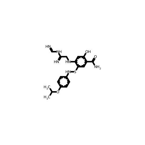 CC(C)Oc1ccc(NSc2cc(C(N)=O)c(O)cc2NCC(=N)NC=N)cc1